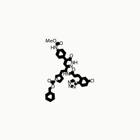 COC(=O)Nc1ccc(-c2cc(C(CC3CCN(C(=O)OCc4ccccc4)C3)NC(=O)C=Cc3cc(Cl)ccc3-n3cnnn3)n[nH]c2=O)cc1